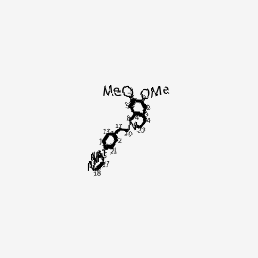 COc1cc2c(cc1OC)CN(CCc1ccc(-n3c[c]nn3)cc1)CC2